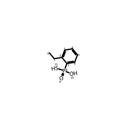 CCc1ccccc1P(=O)(O)S